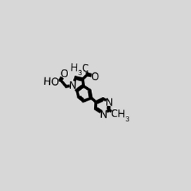 CC(=O)c1cn(CC(=O)O)c2ccc(-c3cnc(C)nc3)cc12